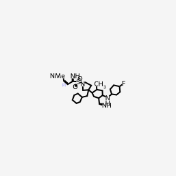 CN/C=C\C(=N)S(=O)(=O)N1CCC(CC2CCCCC2)(C2CC(C=N)C(NC3CCC(F)CC3)CC2C)C1